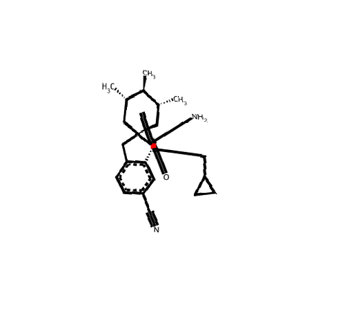 C[C@H]1[C@H](C)C[C@@]2(Cc3ccc(C#N)cc3[C@]23N=C(N)N(CC2CC2)C3=O)C[C@@H]1C